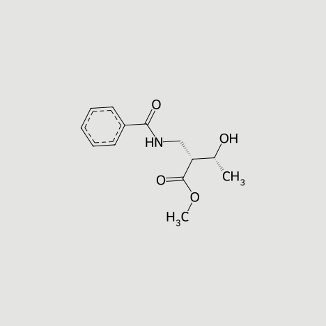 COC(=O)[C@H](CNC(=O)c1ccccc1)[C@@H](C)O